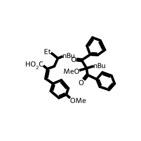 CCCCC(CC)CC(=Cc1ccc(OC)cc1)C(=O)O.CCCCC(OC)(C(=O)c1ccccc1)C(=O)c1ccccc1